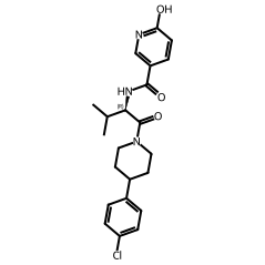 CC(C)[C@@H](NC(=O)c1ccc(O)nc1)C(=O)N1CCC(c2ccc(Cl)cc2)CC1